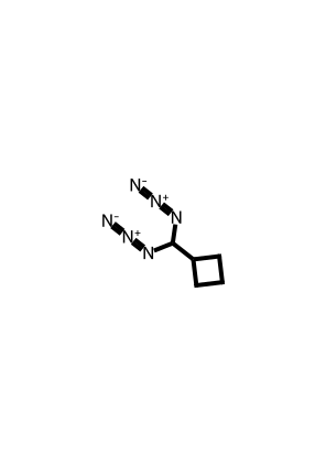 [N-]=[N+]=NC(N=[N+]=[N-])C1CCC1